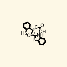 CC(=O)O.[O-][S+](Cc1ccccc1S)c1nc2ccccc2[nH]1